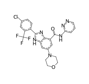 O=C(Nc1cccnn1)c1cc(N2CCOCC2)cc2[nH]c(-c3ccc(Cl)cc3C(F)(F)F)nc12